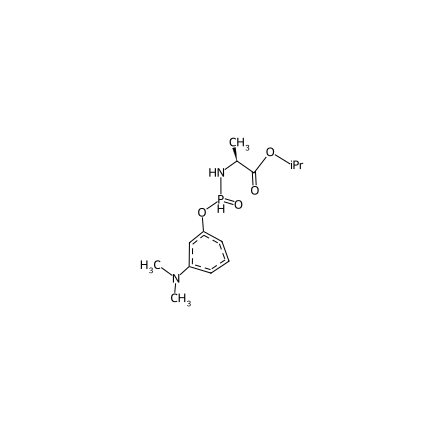 CC(C)OC(=O)[C@H](C)N[PH](=O)Oc1cccc(N(C)C)c1